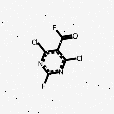 O=C(F)c1c(Cl)nc(F)nc1Cl